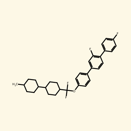 CC1CCC(C2CCC(C(F)(F)Oc3ccc(-c4ccc(-c5ccc(F)cc5)c(F)c4)cc3)CC2)CC1